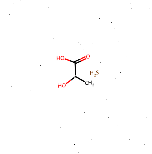 CC(O)C(=O)O.S